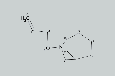 C=CCON1[CH]C2CCCC1C2